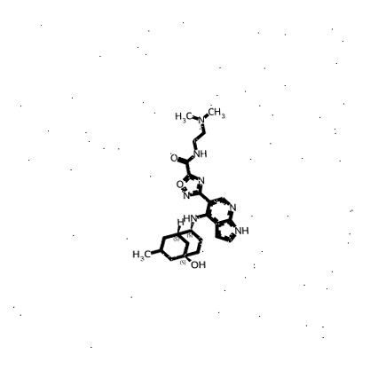 CC1C[C@H]2C[C@](O)(CC[C@@H]2Nc2c(-c3noc(C(=O)NCCN(C)C)n3)cnc3[nH]ccc23)C1